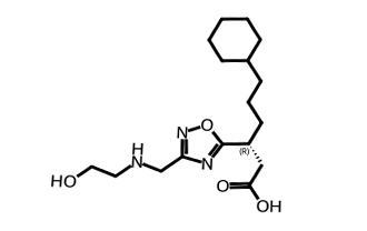 O=C(O)C[C@@H](CCCC1CCCCC1)c1nc(CNCCO)no1